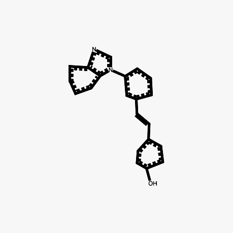 Oc1ccc(/C=C/c2cccc(-n3cnc4ccccc43)c2)cc1